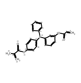 C=CC(=O)Oc1cccc(N(c2ccccc2)c2ccc(OC(=O)C(=C)C)cc2)c1